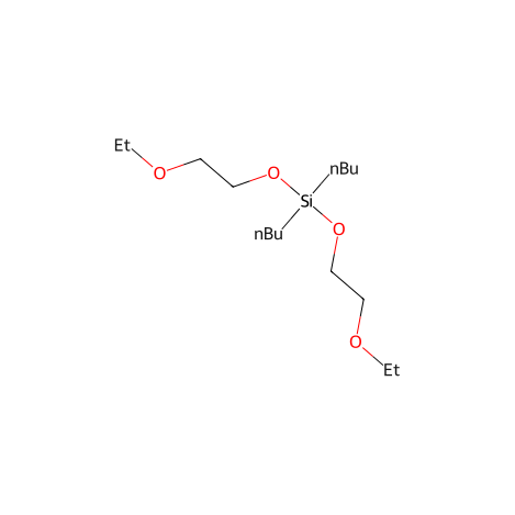 CCCC[Si](CCCC)(OCCOCC)OCCOCC